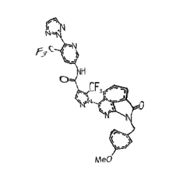 COc1ccc(CN2C(=O)c3cccc4c(-n5ncc(C(=O)Nc6cnc(-n7nccn7)c(C(F)(F)F)c6)c5C(F)(F)F)cnc2c34)cc1